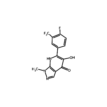 Cn1ncc2c(=O)c(O)c(-c3ccc(F)c(C(F)(F)F)c3)[nH]c21